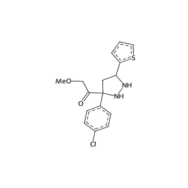 COCC(=O)C1(c2ccc(Cl)cc2)CC(c2cccs2)NN1